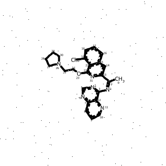 CC(=Nc1ncnc2cccnc12)c1cc2cccc(Cl)c2c(OCCN2CCCC2)n1